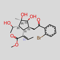 C/C=C(/C(=O)OC)[C@H]1[C@H](CC(=O)c2ccccc2Br)[C@H](O)[C@](C)(O)[C@H]1C(C)O